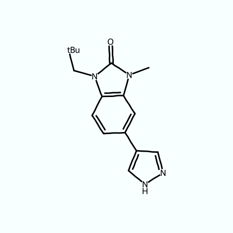 Cn1c(=O)n(CC(C)(C)C)c2ccc(-c3cn[nH]c3)cc21